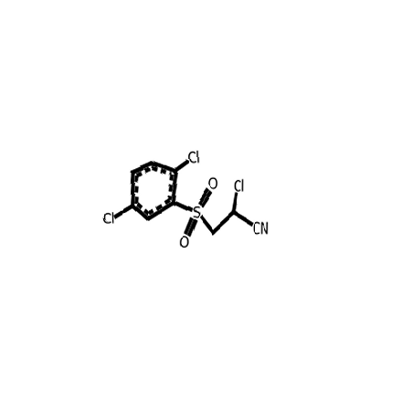 N#CC(Cl)CS(=O)(=O)c1cc(Cl)ccc1Cl